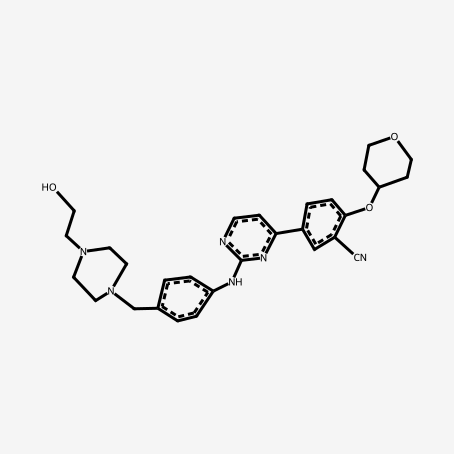 N#Cc1cc(-c2ccnc(Nc3ccc(CN4CCN(CCO)CC4)cc3)n2)ccc1OC1CCOCC1